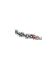 CCCCOc1ccc(C2CCC(CCC3CCC(C/C=C/F)CC3)CC2)cc1